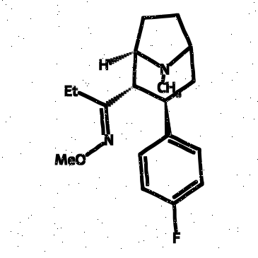 CCC(=NOC)[C@@H]1[C@H]2CCC(C[C@H]1c1ccc(F)cc1)N2C